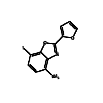 Nc1ccc(I)c2oc(-c3ccco3)nc12